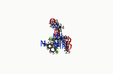 C#Cc1c(F)ccc2cc(C#N)cc(-c3ncc4c(N5CCOC[C@H](NC(=O)C=C)C5)nc(OCC5(CN6CCOCC6)CC5)nc4c3F)c12